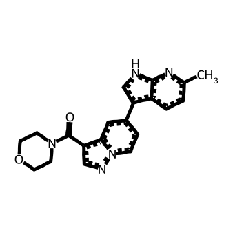 Cc1ccc2c(-c3ccn4ncc(C(=O)N5CCOCC5)c4c3)c[nH]c2n1